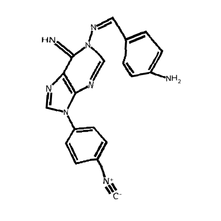 [C-]#[N+]c1ccc(-n2cnc3c(=N)n(/N=C\c4ccc(N)cc4)cnc32)cc1